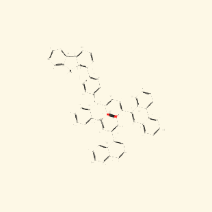 CC1(C)c2ccccc2-c2cccc(-c3ccc(N(c4ccc(-c5cc6ccccc6c6ccccc56)cc4)c4ccccc4-c4cccc(-c5cccc6ccccc56)c4)cc3)c21